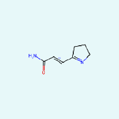 NC(=O)/C=C/C1=NCCC1